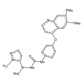 COc1cc2nccc(Oc3ccc(NC(=O)NN(C=O)c4ccnn4C)cc3)c2cc1OC